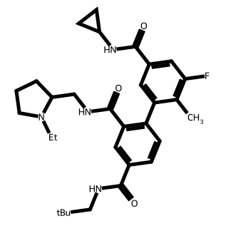 CCN1CCCC1CNC(=O)c1cc(C(=O)NCC(C)(C)C)ccc1-c1cc(C(=O)NC2CC2)cc(F)c1C